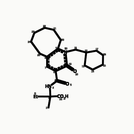 CCC(C)(NC(=O)c1cc2c(n(CC3CCCCC3)c1=O)CCCCCC2)C(=O)O